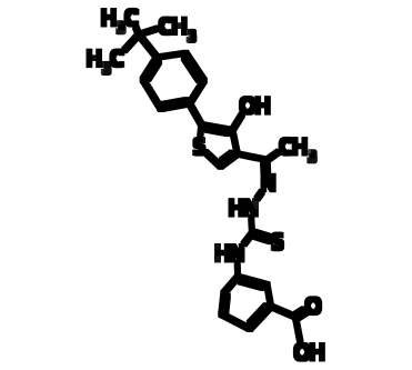 CC(=NNC(=S)Nc1cccc(C(=O)O)c1)c1csc(-c2ccc(C(C)(C)C)cc2)c1O